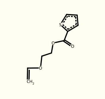 C=COCCOC(=O)c1cccs1